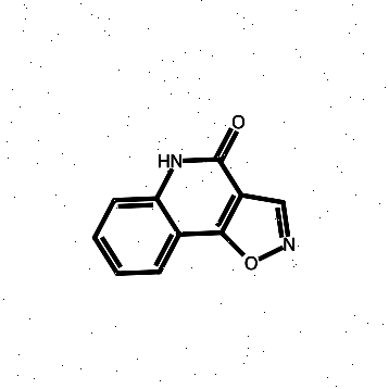 O=c1[nH]c2ccccc2c2oncc12